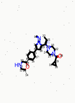 C=Nn1cc(-c2ccc([C@@H]3CNC[C@@H](C)O3)cc2)cc1/C(=C\C)N1CCN(C(=O)C2CC2)CC1